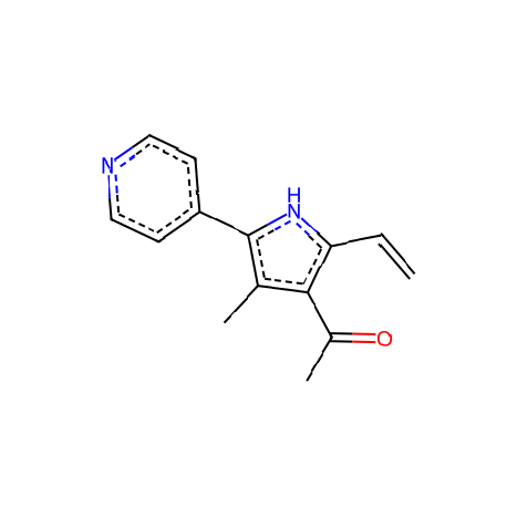 C=Cc1[nH]c(-c2ccncc2)c(C)c1C(C)=O